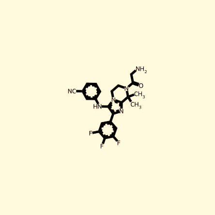 CC1(C)c2nc(-c3cc(F)c(F)c(F)c3)c(Nc3cccc(C#N)c3)n2CCN1C(=O)CN